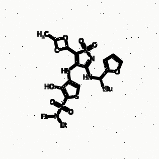 CCN(CC)S(=O)(=O)c1scc(NC2=C(C3OC(C)O3)S(=O)(=O)N=C2N[C@@H](c2ccco2)C(C)(C)C)c1O